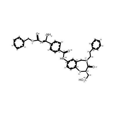 NC(=NC(=O)OCc1ccccc1)c1ccc(C(=O)Nc2ccc3c(c2)CN(CCc2ccccc2)C(=O)[C@@H](CC(=O)O)S3)cc1